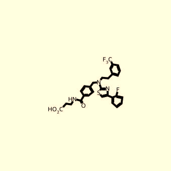 O=C(O)CCNC(=O)c1ccc(CN(CCc2cccc(C(F)(F)F)c2)c2nc(-c3ccccc3F)cs2)cc1